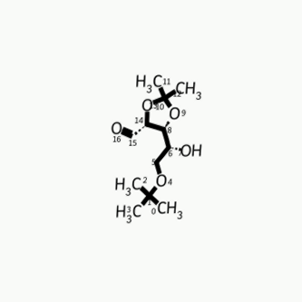 CC(C)(C)OC[C@@H](O)[C@H]1OC(C)(C)O[C@H]1C=O